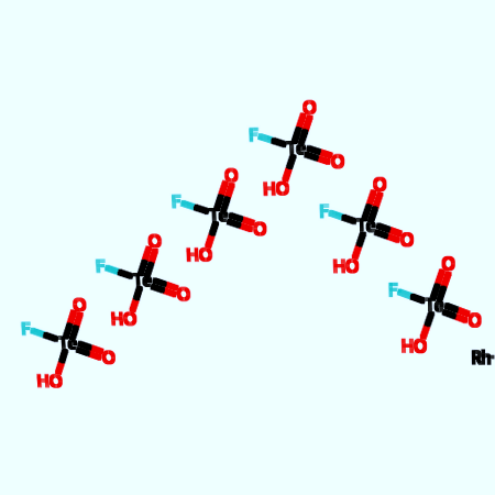 O=[Te](=O)(O)F.O=[Te](=O)(O)F.O=[Te](=O)(O)F.O=[Te](=O)(O)F.O=[Te](=O)(O)F.O=[Te](=O)(O)F.[Rh]